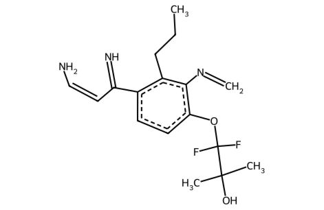 C=Nc1c(OC(F)(F)C(C)(C)O)ccc(C(=N)/C=C\N)c1CCC